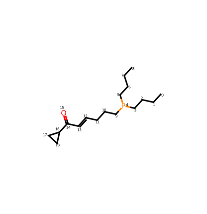 CCCCP(CCCC)CCCC=CC(=O)C1CC1